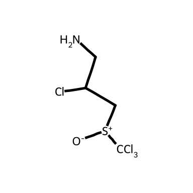 NCC(Cl)C[S+]([O-])C(Cl)(Cl)Cl